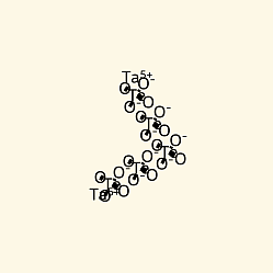 O=[Te](=O)([O-])[O-].O=[Te](=O)([O-])[O-].O=[Te](=O)([O-])[O-].O=[Te](=O)([O-])[O-].O=[Te](=O)([O-])[O-].[Ta+5].[Ta+5]